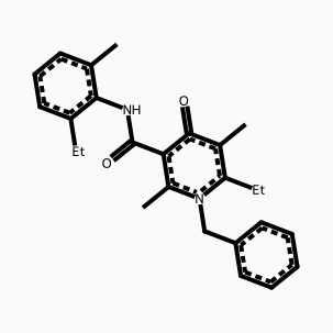 CCc1cccc(C)c1NC(=O)c1c(C)n(Cc2ccccc2)c(CC)c(C)c1=O